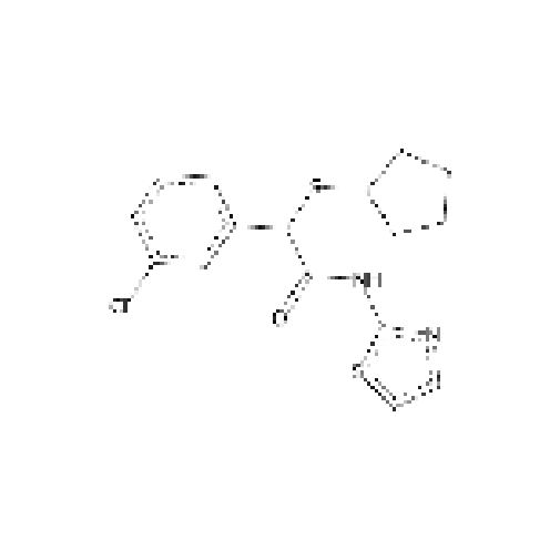 O=C(Nc1nccs1)C(SC1CCCC1)c1cccc(Cl)c1